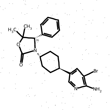 CC1(C)OC(=O)N([C@H]2CC[C@H](c3cnc(N)c(Br)c3)CC2)[C@H]1c1ccccc1